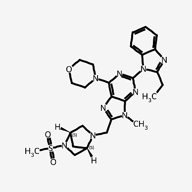 CCc1nc2ccccc2n1-c1nc(N2CCOCC2)c2nc(CN3C[C@@H]4C[C@H]3CN4S(C)(=O)=O)n(C)c2n1